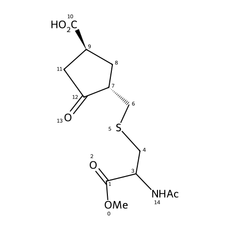 COC(=O)C(CSC[C@H]1C[C@H](C(=O)O)CC1=O)NC(C)=O